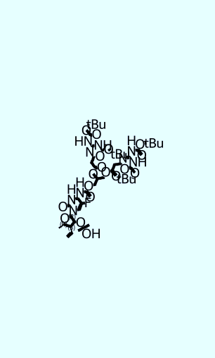 C=C[C@@H]1C(OC(C)(C)O)[C@H](N2C=C(F)C(NC(=O)OCC(COC(=O)CCN=C(NC(=O)OC(C)(C)C)NC(=O)OC(C)(C)C)OC(=O)CCN=C(NC(=O)OC(C)(C)C)NC(=O)OC(C)(C)C)NC2=O)O[C@@H]1C